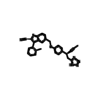 CC#C[C@@H](Cc1nnn[nH]1)c1ccc(OCc2ccc3sc(C#N)c(-c4ccccc4C)c3c2)cc1